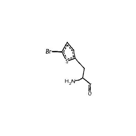 NC([C]=O)Cc1ccc(Br)s1